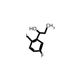 CCC(O)c1cc(F)ccc1I